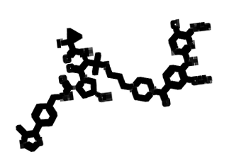 CNc1nc(Nc2ccc(C(=O)N3CCN(CCCSC(C)(C)[C@H](NC(=O)C4(F)CC4)C(=O)N4C[C@H](O)C[C@@H]4C(=O)NCc4ccc(-c5scnc5C)cc4)CC3)cc2OC)ncc1Cl